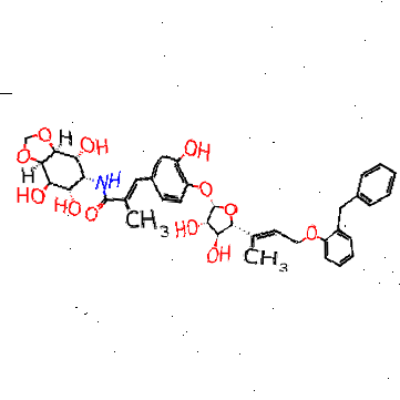 CC(=Cc1ccc(O[C@@H]2O[C@H](C(C)=CCOc3ccccc3Cc3ccccc3)[C@@H](O)[C@@H]2O)c(O)c1)C(=O)N[C@@H]1[C@H](O)[C@@H](O)[C@H]2OCO[C@H]2[C@@H]1O